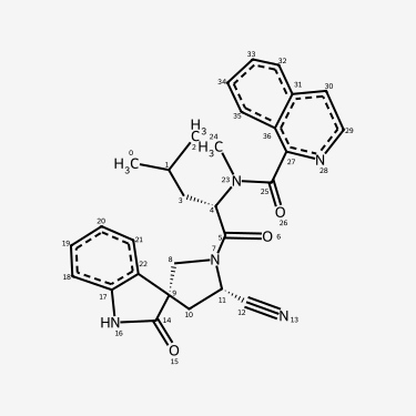 CC(C)C[C@@H](C(=O)N1C[C@]2(C[C@H]1C#N)C(=O)Nc1ccccc12)N(C)C(=O)c1nccc2ccccc12